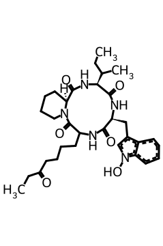 CCC(=O)CCCCC1NC(=O)[C@H](Cc2cn(O)c3ccccc23)NC(=O)[C@H](C(C)CC)NC(=O)[C@@H]2CCCCN2C1=O